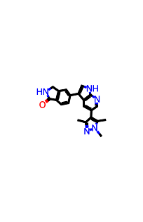 Cc1nn(C)c(C)c1-c1cnc2[nH]cc(-c3ccc4c(c3)CNC4=O)c2c1